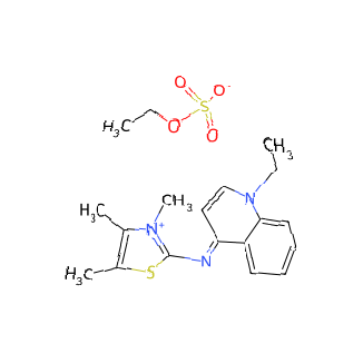 CCOS(=O)(=O)[O-].CCn1ccc(=Nc2sc(C)c(C)[n+]2C)c2ccccc21